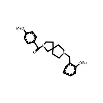 COc1ccc(C(=O)N2CCC3(CCN(Cc4ccccc4OCC(C)C)CC3)C2)cc1